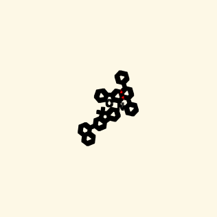 CC1(C)c2cc(-c3cccc4ccccc34)ccc2-c2ccc(N(c3ccccc3-c3ccc(-c4ccccc4)cc3)c3cccc4c3oc3ccccc34)cc21